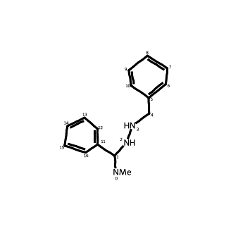 CNC(NNCc1ccccc1)c1ccccc1